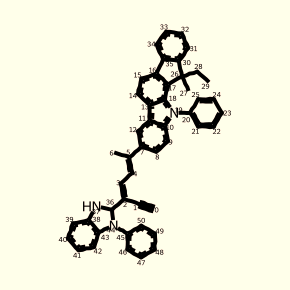 C#C/C(=C\C=C(/C)c1ccc2c(c1)c1ccc3c(c1n2C1=C=C=CC=C1)C(C)(CC)c1ccccc1-3)C1Nc2ccccc2N1c1ccccc1